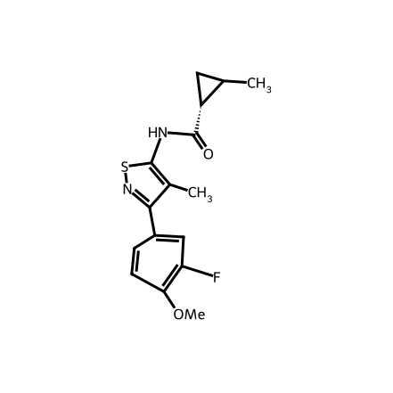 COc1ccc(-c2nsc(NC(=O)[C@@H]3CC3C)c2C)cc1F